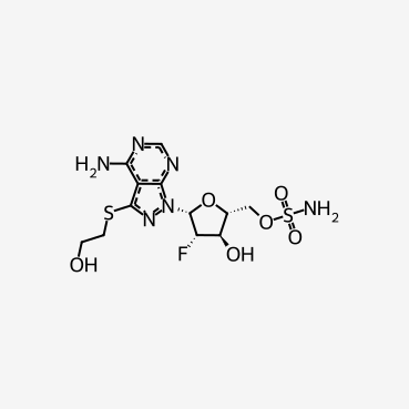 Nc1ncnc2c1c(SCCO)nn2[C@@H]1O[C@H](COS(N)(=O)=O)[C@@H](O)[C@@H]1F